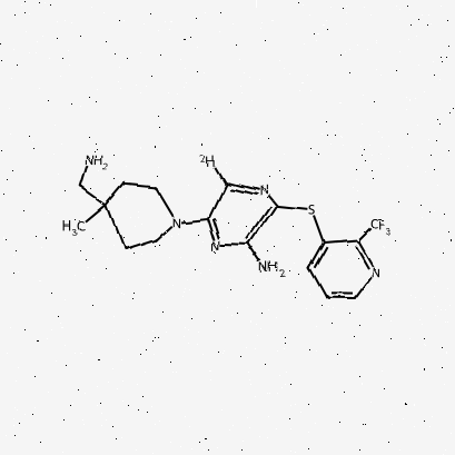 [2H]c1nc(Sc2cccnc2C(F)(F)F)c(N)nc1N1CCC(C)(CN)CC1